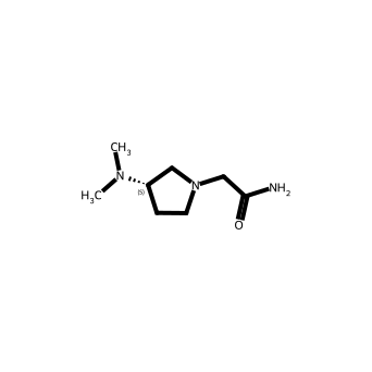 CN(C)[C@H]1CCN(CC(N)=O)C1